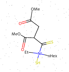 CCCCCC[N+](S)(CC)C(=S)C(CC(=O)OC)C(=O)OC